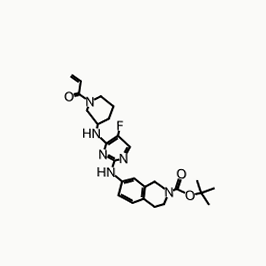 C=CC(=O)N1CCCC(Nc2nc(Nc3ccc4c(c3)CN(C(=O)OC(C)(C)C)CC4)ncc2F)C1